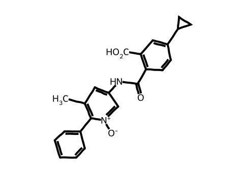 Cc1cc(NC(=O)c2ccc(C3CC3)cc2C(=O)O)c[n+]([O-])c1-c1ccccc1